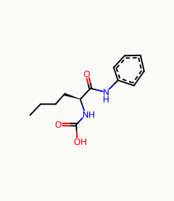 CCCC[C@H](NC(=O)O)C(=O)Nc1ccccc1